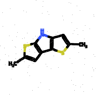 Cc1cc2c([nH]c3cc(C)sc32)s1